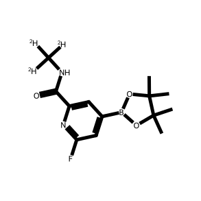 [2H]C([2H])([2H])NC(=O)c1cc(B2OC(C)(C)C(C)(C)O2)cc(F)n1